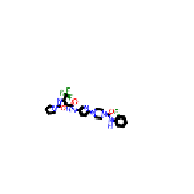 O=C(Nc1ccc(N2CCN(C(=O)Nc3ccccc3F)CC2)nc1)c1oc(N2CCCC2)nc1C(F)(F)F